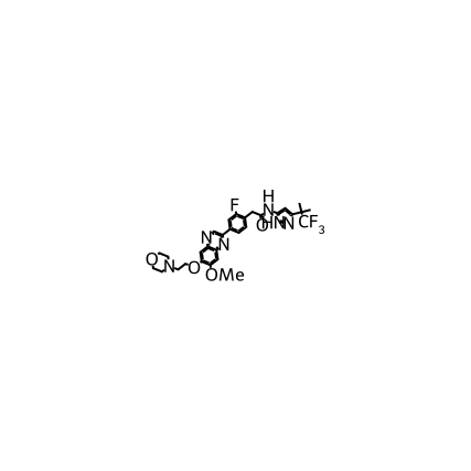 COc1cc2nc(-c3ccc(CC(=O)Nc4cc(C(C)(C)C(F)(F)F)n[nH]4)c(F)c3)cnc2cc1OCCN1CCOCC1